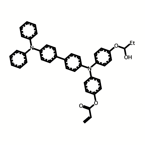 C=CC(=O)Oc1ccc(N(c2ccc(OC(O)CC)cc2)c2ccc(-c3ccc(N(c4ccccc4)c4ccccc4)cc3)cc2)cc1